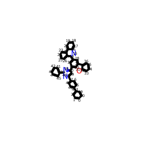 c1ccc(-c2ccc(-c3cc(-c4cc(-c5nc6ccccc6c6ccccc56)cc5c4oc4ccccc45)nc(-c4ccccc4)n3)cc2)cc1